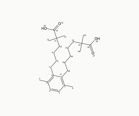 Cc1ccc(C)c(CCCCC(C)(C)C(=O)O)c1CCCCCC(C)(C)C(=O)O